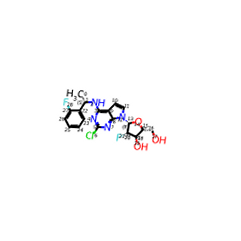 C[C@H](Nc1nc(Cl)nc2c1ccn2[C@@H]1O[C@H](CO)[C@@H](O)[C@@H]1F)c1ccccc1F